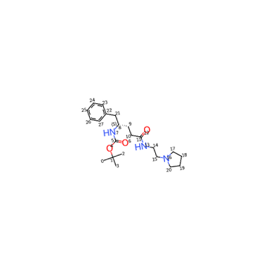 CC(C)(C)OC(=O)N[C@@H](CCC(=O)NCCN1CCCC1)Cc1ccccc1